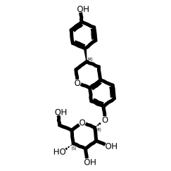 OCC1O[C@H](Oc2ccc3c(c2)OC[C@@H](c2ccc(O)cc2)C3)C(O)C(O)[C@@H]1O